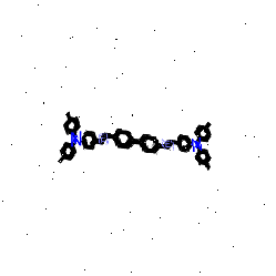 Cc1ccc(N(C2=CC=C(/C=C/C3=CC=C(C4=CC=C(/C=C/c5ccc(N(c6ccc(C)cc6)c6ccc(C)cc6)cc5)CC4)CC3)CC2)c2ccc(C)cc2)cc1